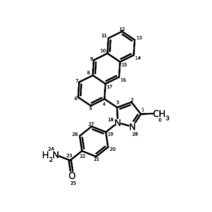 Cc1cc(-c2cccc3cc4ccccc4cc23)n(-c2ccc(C(N)=O)cc2)n1